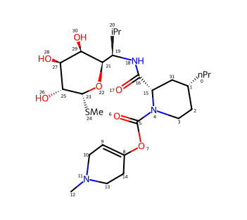 CCC[C@@H]1CCN(C(=O)OC2=CCN(C)CC2)[C@H](C(=O)N[C@H](C(C)C)[C@H]2O[C@H](SC)[C@H](O)[C@@H](O)[C@H]2O)C1